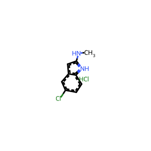 CNc1cc2cc(Cl)ccc2[nH]1.Cl